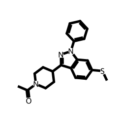 CSc1ccc2c(C3CCN(C(C)=O)CC3)nn(-c3ccccc3)c2c1